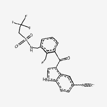 [C-]#[N+]c1cnc2[nH]cc(C(=O)c3cccc(NS(=O)(=O)CC(F)(F)F)c3F)c2c1